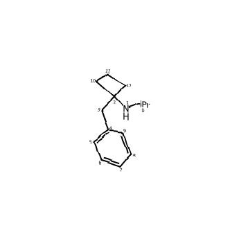 CC(C)NC1(Cc2ccccc2)CCC1